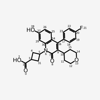 O=C(O)C1CC(n2c(=O)c(C3CCOCC3)c(-c3ccc(F)cc3)c3ccc(O)cc32)C1